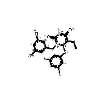 CCc1c(Sc2cc(C)cc(C)c2)n(Cc2cc(Cl)cc(Cl)c2)c(=O)[nH]c1=O